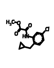 COC(=O)C(=O)Nc1cc(Cl)ccc1CC1CC1